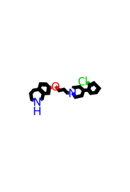 Clc1ccccc1C1CCN(CCCOc2ccc3c(c2)CNCCC3)CC1